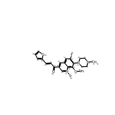 CC(C)Oc1c(N2CCN(C)CC2)c(F)cc2cc(C(=O)C=Cc3ccco3)c[n+]([O-])c12